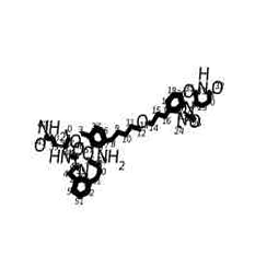 C[C@@H](OCc1ccc(CCCCCOCCCc2cccc3c2n(C)c(=O)n3C2CCC(=O)NC2=O)cc1)[C@H](CCC(N)=O)NC(=O)[C@@H]1Cc2cccc3c2N1C(=O)[C@@H](N)CC3